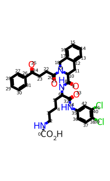 O=C(O)NCCCCC(NC(=O)C1Cc2ccccc2CN1C(=O)CCC(=O)c1ccccc1)C(=O)Nc1ccc(Cl)c(Cl)c1